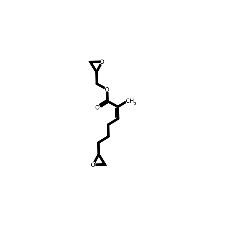 CC(=CCCCC1CO1)C(=O)OCC1CO1